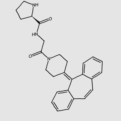 O=C(NCC(=O)N1CCC(=C2c3ccccc3C=Cc3ccccc32)CC1)[C@H]1CCCN1